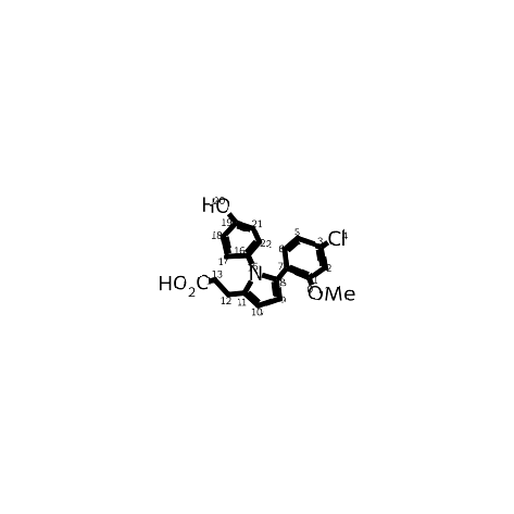 COc1cc(Cl)ccc1-c1ccc(CCC(=O)O)n1-c1ccc(O)cc1